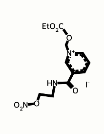 CCOC(=O)OC[n+]1cccc(C(=O)NCCO[N+](=O)[O-])c1.[I-]